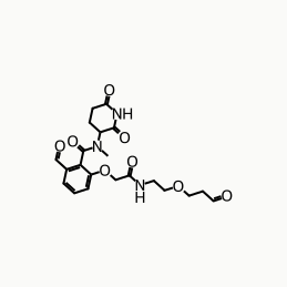 CN(C(=O)c1c(C=O)cccc1OCC(=O)NCCOCCC=O)C1CCC(=O)NC1=O